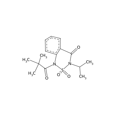 CC(C)N1C(=O)c2ccccc2N(C(=O)C(C)(C)C)S1(=O)=O